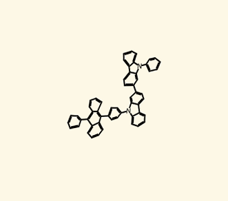 c1ccc(-c2c3ccccc3c(-c3ccc(-n4c5ccccc5c5ccc(-c6ccc7c8ccccc8n(-c8ccccc8)c7c6)cc54)cc3)c3ccccc23)cc1